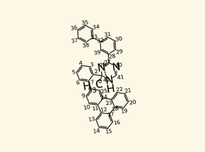 CC1(c2ccccc2-c2ccc3c4ccccc4c4ccccc4c3c2)N=C(c2cccc(-c3ccccc3)c2)N=CN1